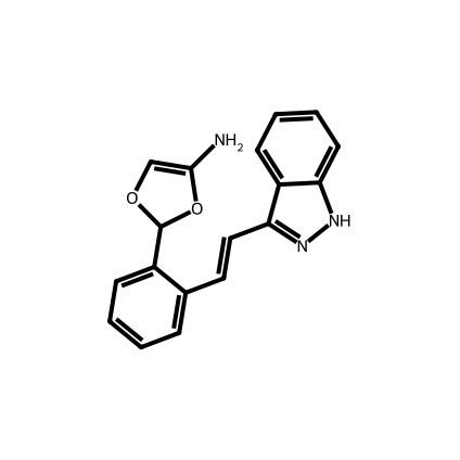 NC1=COC(c2ccccc2C=Cc2n[nH]c3ccccc23)O1